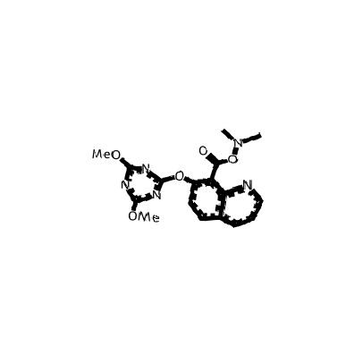 COc1nc(OC)nc(Oc2ccc3cccnc3c2C(=O)ON(C)C)n1